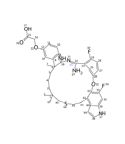 CC1(C)CCCC(C)(c2cccc(OCC(=O)O)c2)C(=N)/N=C(\N)c2cc(ccc2F)Oc2c(F)cc3[nH]ccc3c2CCSC1